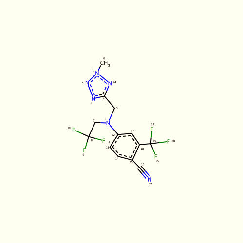 Cn1nnc(CN(CC(F)(F)F)c2ccc(C#N)c(C(F)(F)F)c2)n1